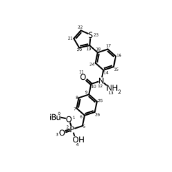 CCC(C)OP(=O)(O)Cc1ccc(C(=O)N(N)c2cccc(-c3cccs3)c2)cc1